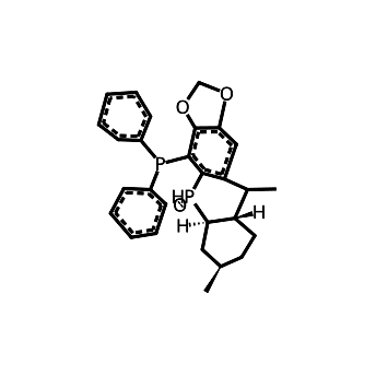 CC1c2cc3c(c(P(c4ccccc4)c4ccccc4)c2[PH](=O)[C@@H]2C[C@H](C)CC[C@@H]12)OCO3